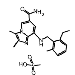 CCc1cccc(C)c1CNc1cc(C(N)=O)cn2c(C)c(C)nc12.CS(=O)(=O)O